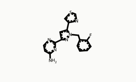 Nc1ccnc(-c2cc(-c3cscn3)n(Cc3ccccc3F)n2)n1